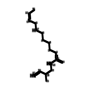 C=[PH](CCCCCPC/N=C\C)NCC(C)C=N